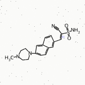 CN1CCN(c2ccc3cc(/C=C(\C#N)S(N)(=O)=O)ccc3c2)CC1